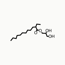 CCCCCCCCCCC(CC)C(=O)OCC(O)CO